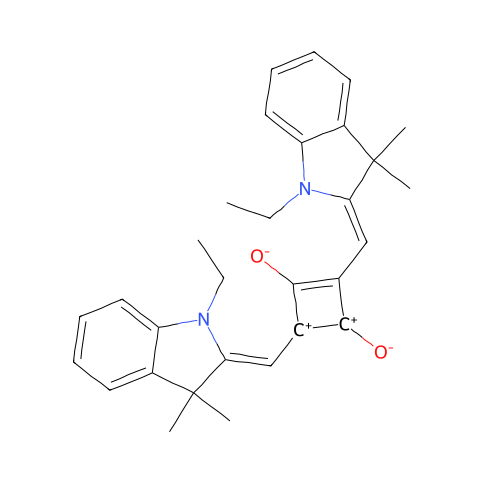 CCN1C(=Cc2c([O-])[c+](C=C3N(CC)c4ccccc4C3(C)C)[c+]2[O-])C(C)(C)c2ccccc21